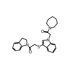 O=C(Cn1cc(SCC(=O)N2CCc3ccccc32)c2ccccc21)N1CCCCCC1